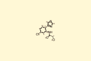 O=C(CCl)Nc1cc(Cl)ccc1-n1cncn1